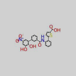 O=C(Nc1ccccc1-c1ccc(C(=O)O)s1)c1cccc(-c2cc([N+](=O)[O-])cc(O)c2O)c1